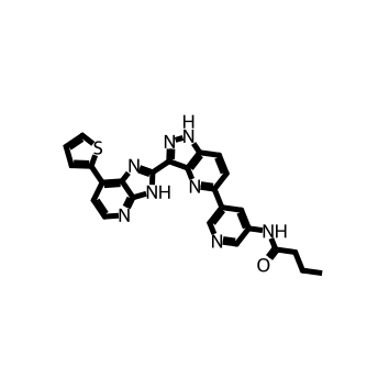 CCCC(=O)Nc1cncc(-c2ccc3[nH]nc(-c4nc5c(-c6cccs6)ccnc5[nH]4)c3n2)c1